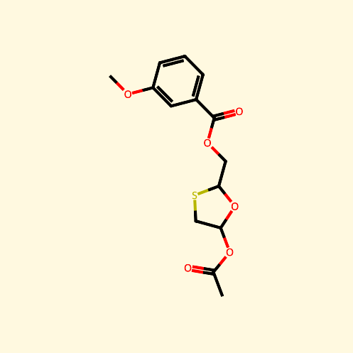 COc1cccc(C(=O)OCC2OC(OC(C)=O)CS2)c1